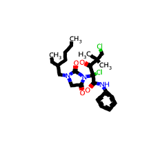 CCCCC(CC)CN1CC(=O)N(C(Cl)(C(=O)Nc2ccccc2)C(=O)C(C)(C)CCl)C1=O